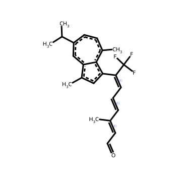 CC(/C=C/C=C(\c1cc(C)c2cc(C(C)C)ccc(C)c1-2)C(F)(F)F)=C\C=O